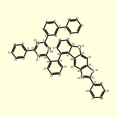 c1ccc(-c2cccc(-c3nc(-c4ccccc4)nc(-c4ccccc4-c4cccc5oc6cc7sc(-c8ccccc8)nc7cc6c45)n3)c2)cc1